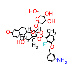 Cc1ccc(OCc2cccc(N)c2)c(F)c1[C@H]1O[C@@H]2CC3[C@@H]4CCC5=CC(=O)C=C[C@]5(C)C4[C@@H](O)C[C@]3(C)[C@]2(C(=O)CO[C@H]2C[C@@H](O)[C@@H](O)[C@@H](CO)O2)O1